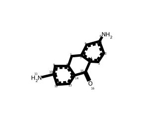 Nc1ccc2c(c1)Cc1cc(N)ccc1C2=O